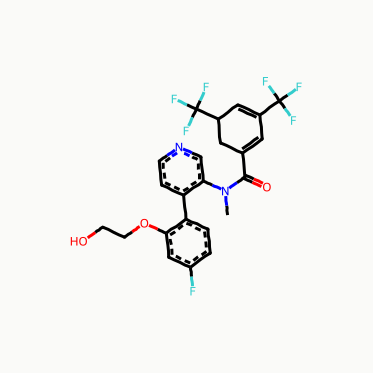 CN(C(=O)C1=CC(C(F)(F)F)=CC(C(F)(F)F)C1)c1cnccc1-c1ccc(F)cc1OCCO